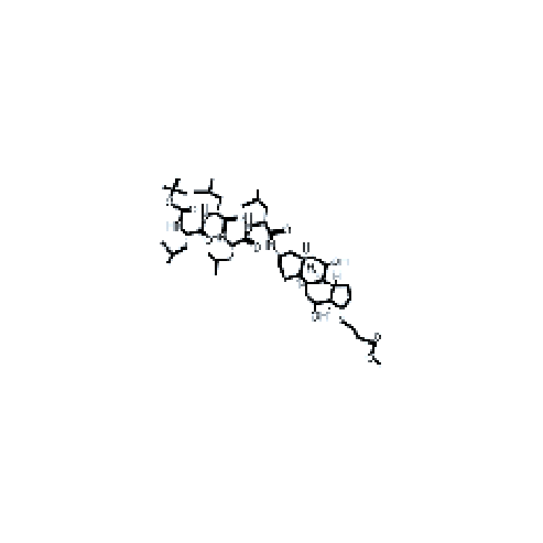 COC(=O)CCC[C@H]1CC[C@H]2[C@@H]3[C@H](O)C[C@@H]4C[C@@H](NC(=O)[C@H](CC(C)C)NC(=O)[C@H](CC(C)C)NC(=O)[C@H](CC(C)C)NC(=O)[C@H](CC(C)C)NC(=O)OC(C)(C)C)CC[C@]4(C)[C@H]3C[C@H](O)[C@]12C